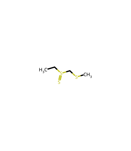 CCS(=S)CSC